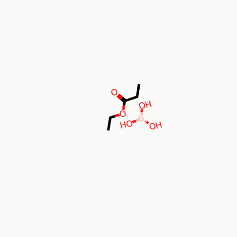 CCOC(=O)CC.OB(O)O